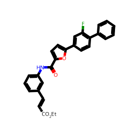 CCOC(=O)/C=C/c1cccc(NC(=O)c2ccc(-c3ccc(-c4ccccc4)c(F)c3)o2)c1